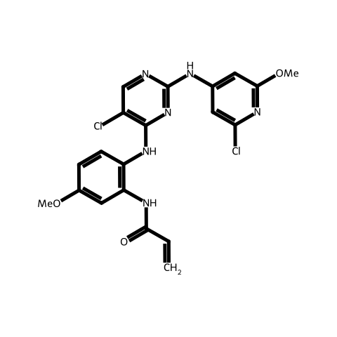 C=CC(=O)Nc1cc(OC)ccc1Nc1nc(Nc2cc(Cl)nc(OC)c2)ncc1Cl